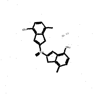 [CH2]=[Zr+2]([C]1=Cc2c(C(C)(C)C)ccc(C)c2C1)[C]1=Cc2c(C(C)(C)C)ccc(C)c2C1.[Cl-].[Cl-]